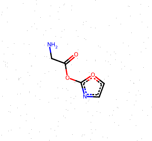 NCC(=O)Oc1ncco1